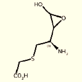 N[C@@H](CSCC(=O)O)C1OC1O